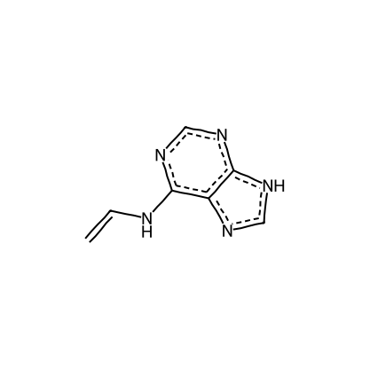 C=CNc1ncnc2[nH]cnc12